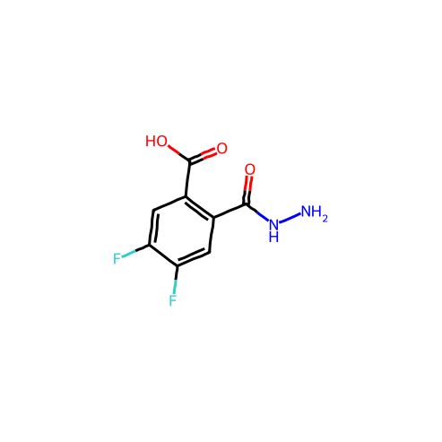 NNC(=O)c1cc(F)c(F)cc1C(=O)O